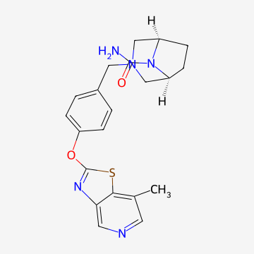 Cc1cncc2nc(Oc3ccc(CN4C[C@H]5CC[C@@H](C4)N5C(N)=O)cc3)sc12